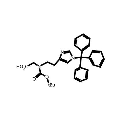 CC(C)(C)OC(=O)N(CCc1cn(C(c2ccccc2)(c2ccccc2)c2ccccc2)cn1)CC(=O)O